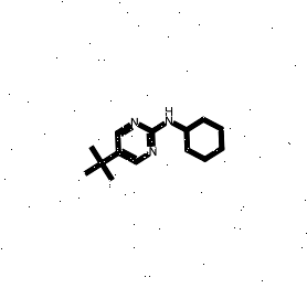 CC(C)(C)c1cnc(NC2CCCCC2)nc1